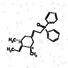 CC=C1[C@H](C)CC(=CCP(=O)(c2ccccc2)c2ccccc2)C[C@H]1C